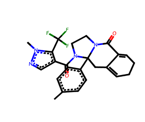 Cc1ccc(C23CC4=CCCC=C4C(=O)N2CCN3C(=O)c2cnn(C)c2C(F)(F)F)cc1